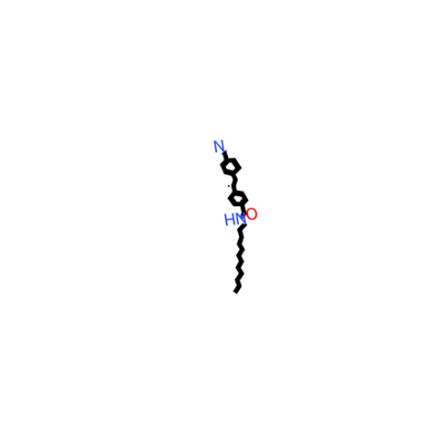 CCCCCCCCCCCCNC(=O)c1ccc([CH]Cc2ccc(C#N)cc2)cc1